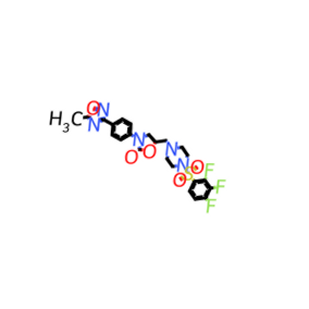 Cc1nc(-c2ccc(N3CC(CN4CCN(S(=O)(=O)c5ccc(F)c(F)c5F)CC4)OC3=O)cc2)no1